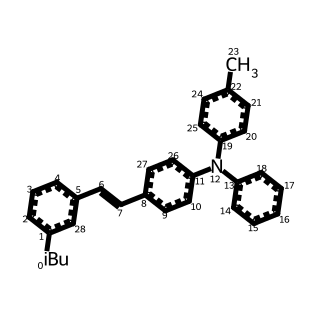 CCC(C)c1cccc(C=Cc2ccc(N(c3ccccc3)c3ccc(C)cc3)cc2)c1